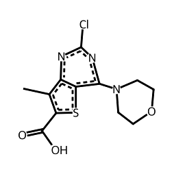 Cc1c(C(=O)O)sc2c(N3CCOCC3)nc(Cl)nc12